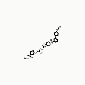 CNS(=O)(=O)c1cccc(OCC(O)CNC2COC3(CCN(S(=O)(=O)c4cccc(-c5ccc(OCC#N)cc5)c4)CC3)C2)c1